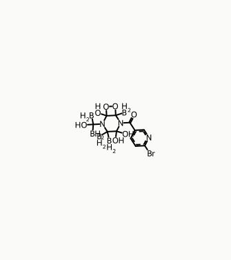 BC(B)(O)N1C(B)(B)C(O)(O)N(C(=O)c2ccc(Br)nc2)C2(B)OOC12O